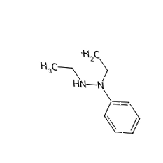 [CH2]CN(NCC)c1ccccc1